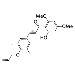 C=CCOc1c(C)cc(/C=C/C(=O)c2c(O)cc(OC)cc2OC)cc1C